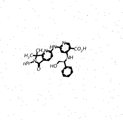 CCCN1C(=O)c2ccc(Nc3cc(N[C@H](CO)c4ccccc4)c(C(=O)O)cn3)nc2C1(C)C